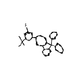 CC(C)(C)c1cc(F)cc(-c2ccc3c(c2)-c2ccccc2C3(c2ccccc2)c2ccccc2)c1